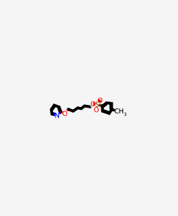 Cc1ccc(S(=O)(=O)OCCCCCCOc2ccccn2)cc1